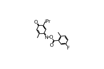 CC1=CC(=O)C(C(C)C)=C/C1=N\OC(=O)c1cc(F)ccc1C